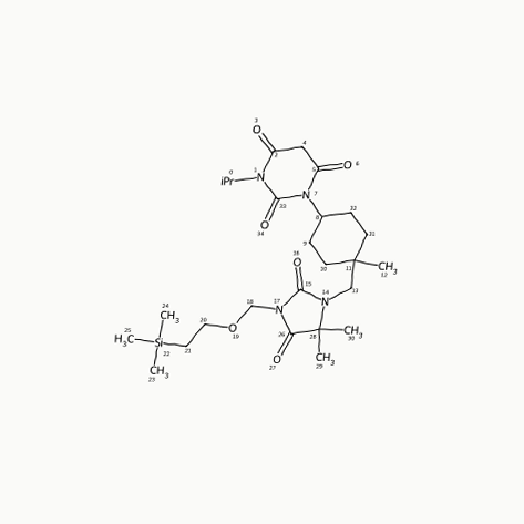 CC(C)N1C(=O)CC(=O)N(C2CCC(C)(CN3C(=O)N(COCC[Si](C)(C)C)C(=O)C3(C)C)CC2)C1=O